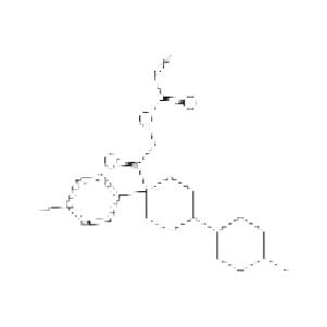 C=CC(=O)OCC(=O)C1(c2ccc(C)cc2)CCC(C2CCC(C)CC2)CC1